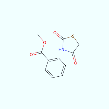 COC(=O)c1ccccc1.O=C1CSC(=O)N1